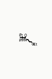 CCOCCCNC(=O)C(C)(C(C)C)C(C)C